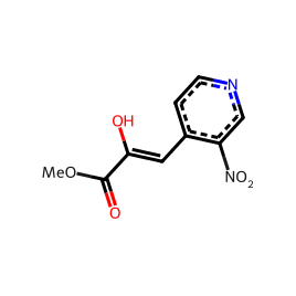 COC(=O)C(O)=Cc1ccncc1[N+](=O)[O-]